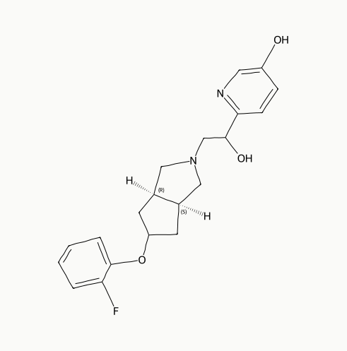 Oc1ccc(C(O)CN2C[C@H]3CC(Oc4ccccc4F)C[C@H]3C2)nc1